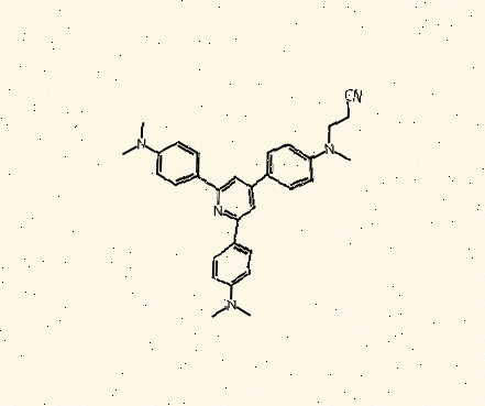 CN(C)c1ccc(-c2cc(-c3ccc(N(C)CCC#N)cc3)cc(-c3ccc(N(C)C)cc3)n2)cc1